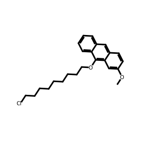 COc1ccc2cc3ccccc3c(OCCCCCCCCCCl)c2c1